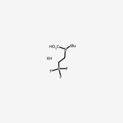 CC(C)(C)N(CC[B-](F)(F)F)C(=O)O.[KH]